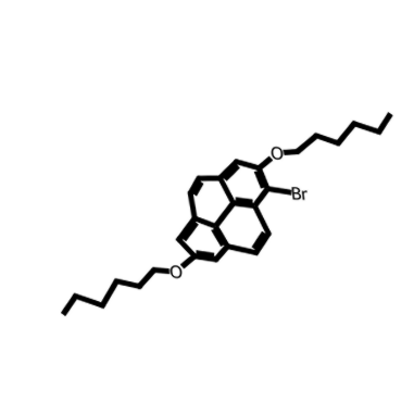 CCCCCCOc1cc2ccc3cc(OCCCCCC)c(Br)c4ccc(c1)c2c34